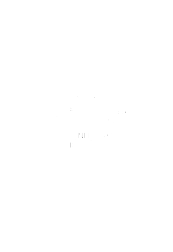 CCOC(=O)c1csc(CC)c1N.Cl